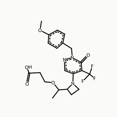 COc1ccc(Cn2ncc(N3CCC3C(C)OCCC(=O)O)c(C(F)(F)F)c2=O)cc1